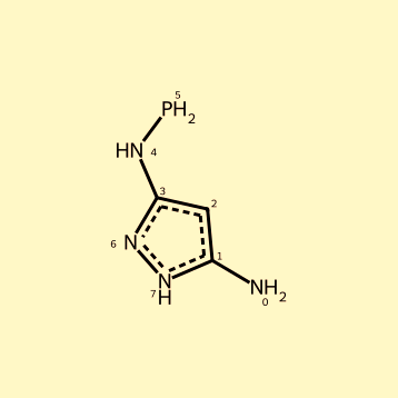 Nc1cc(NP)n[nH]1